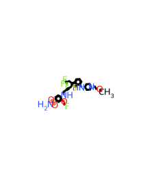 COCCN1CCC(Nc2cccc3c(CC(F)(F)F)c(C#CCNc4ccc(S(N)(=O)=O)cc4OCF)sc23)CC1